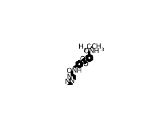 CC(C)NC(=O)c1cccc(S(=O)(=O)c2ccc(CNC(=O)c3ccn4ccnc4n3)cc2)c1